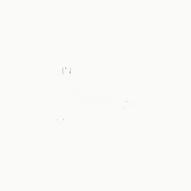 N=S(=O)=O.[Zn]